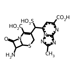 Cc1nc2nc(C(=O)O)cc(C(C3=C(C(=O)O)N4C(=O)C(N)C4SC3)S(=O)(=O)O)n2n1